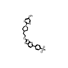 CCCc1cnc(N2CCC(CCOc3nc4ccc(-c5ccc(S(C)(=O)=O)cc5)nc4s3)CC2)nc1